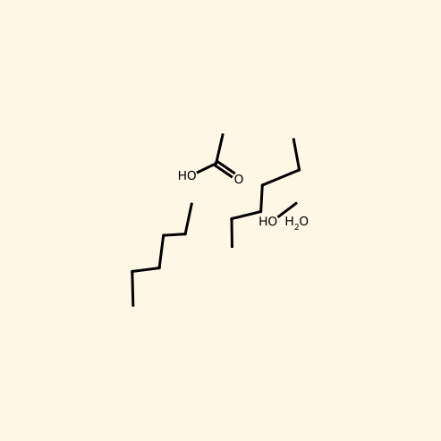 CC(=O)O.CCCCCC.CCCCCC.CO.O